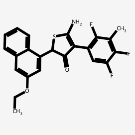 CCOc1cc(C2SC(N)=C(c3cc(F)c(F)c(C)c3F)C2=O)c2ccccc2c1